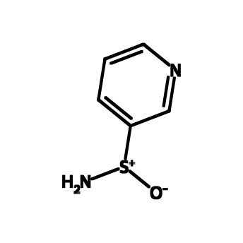 N[S+]([O-])c1cccnc1